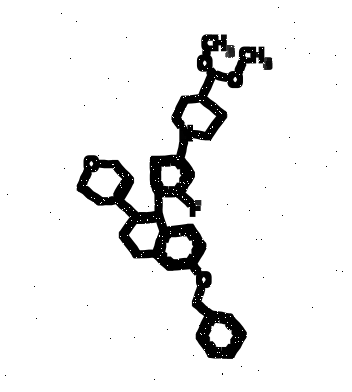 COC(OC)C1CCN(c2ccc(C3=C(C4=CCOCC4)CCc4cc(OCc5ccccc5)ccc43)c(F)c2)CC1